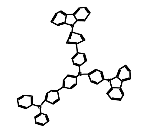 c1ccc(N(c2ccccc2)c2ccc(-c3ccc(N(c4ccc(-c5ccc(-n6c7ccccc7c7ccccc76)cc5)cc4)c4ccc(-n5c6ccccc6c6ccccc65)cc4)cc3)cc2)cc1